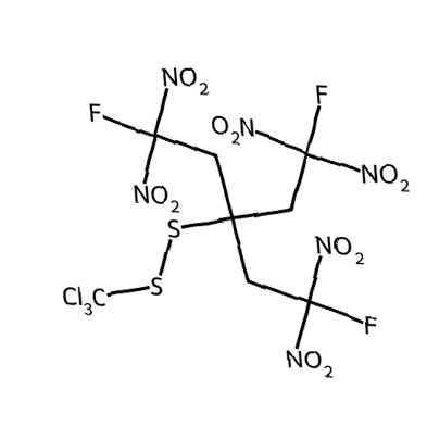 O=[N+]([O-])C(F)(CC(CC(F)([N+](=O)[O-])[N+](=O)[O-])(CC(F)([N+](=O)[O-])[N+](=O)[O-])SSC(Cl)(Cl)Cl)[N+](=O)[O-]